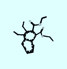 CCOC(=O)c1c(CC)c(CC)c2ccccc2c1C(=O)OCC